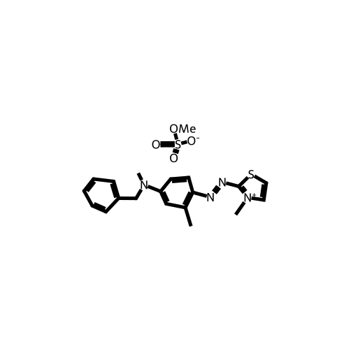 COS(=O)(=O)[O-].Cc1cc(N(C)Cc2ccccc2)ccc1N=Nc1scc[n+]1C